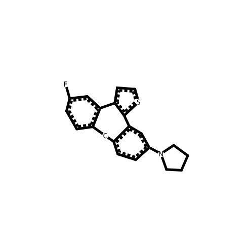 Fc1ccc2c(c1)-c1ccsc1-c1cc(N3CCCC3)ccc1C2